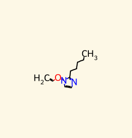 C=COn1ccnc1CCCCC